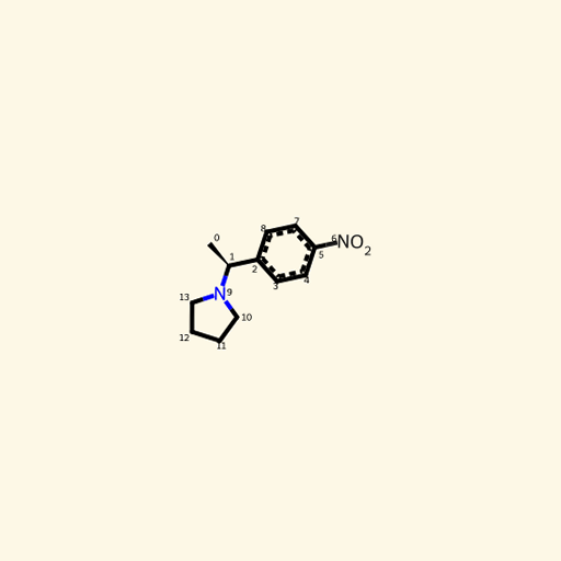 C[C@@H](c1ccc([N+](=O)[O-])cc1)N1CCCC1